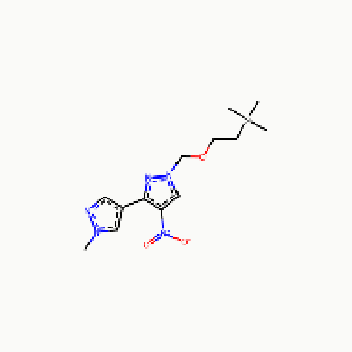 Cn1cc(-c2nn(COCC[Si](C)(C)C)cc2[N+](=O)[O-])cn1